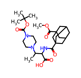 COC(=O)C12CC3CC(CC(C(=O)NC(C(=O)O)C(C)N4CCN(C(=O)OC(C)(C)C)CC4)(C3)C1)C2